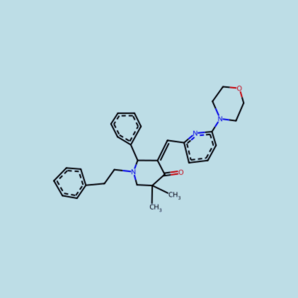 CC1(C)CN(CCc2ccccc2)C(c2ccccc2)/C(=C/c2cccc(N3CCOCC3)n2)C1=O